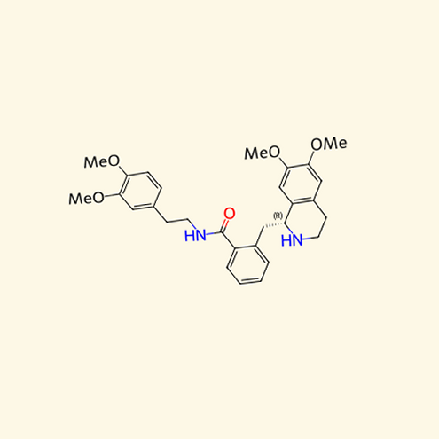 COc1ccc(CCNC(=O)c2ccccc2C[C@H]2NCCc3cc(OC)c(OC)cc32)cc1OC